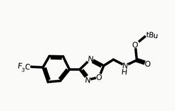 CC(C)(C)OC(=O)NCc1nc(-c2ccc(C(F)(F)F)cc2)no1